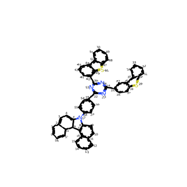 C1=CC2=CC=C3C(c4c(ccc5ccccc45)N3c3ccc(-c4nc(-c5ccc6sc7ccccc7c6c5)nc(-c5cccc6c5sc5ccccc56)n4)cc3)C2C=C1